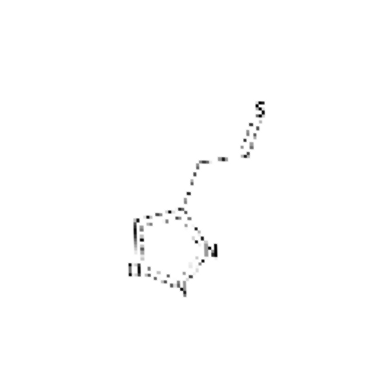 S=[C]Cc1conn1